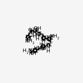 Cc1nc(N)ccc1CNC(=O)[C@H](CO)NC(=O)[C@H]1C[C@H](Cc2cccc(-c3cc(C[C@@H]4CN[C@@H](C(=O)N[C@@H](C)C(=O)NCc5ccc(C(=N)N)cc5)C4)cc(N)n3)c2)CN1